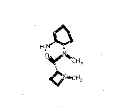 CN1CC[C@@H]1C(=O)N(C)[C@H]1CCCC[C@@H]1N